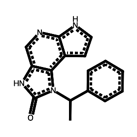 CC(c1ccccc1)n1c(=O)[nH]c2cnc3[nH]ccc3c21